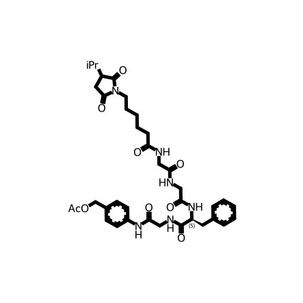 CC(=O)OCc1ccc(NC(=O)CNC(=O)[C@H](Cc2ccccc2)NC(=O)CNC(=O)CNC(=O)CCCCCN2C(=O)CC(C(C)C)C2=O)cc1